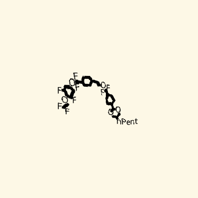 CCCCCC1COC(c2ccc(C(F)(F)O/C=C/C3CCC(C(F)(F)Oc4cc(F)c(OC=C(F)F)c(F)c4)CC3)cc2)OC1